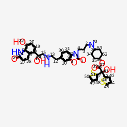 CN(CCCn1c(=O)oc2cc(CCNC[C@H](O)c3ccc(O)c4[nH]c(=O)ccc34)ccc21)[C@H]1CC[C@H](OC(=O)C(O)(c2cccs2)c2cccs2)CC1